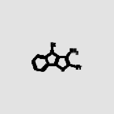 CCn1c2ccccc2c2sc(C(C)C)c(N)c21